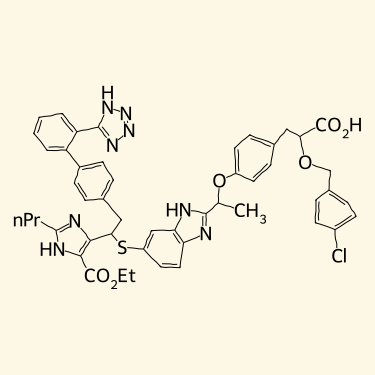 CCCc1nc(C(Cc2ccc(-c3ccccc3-c3nnn[nH]3)cc2)Sc2ccc3nc(C(C)Oc4ccc(CC(OCc5ccc(Cl)cc5)C(=O)O)cc4)[nH]c3c2)c(C(=O)OCC)[nH]1